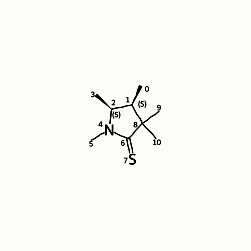 C[C@@H]1[C@H](C)N(C)C(=S)C1(C)C